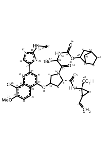 C=CC1C[C@]1(NC(=O)[C@@H]1CC(Oc2cc(-c3csc(NC(C)C)n3)nc3c(Cl)c(OC)ccc23)CN1C(=O)C(NC(=O)OC1CC2CCC1C2)C(C)(C)C)C(=O)O